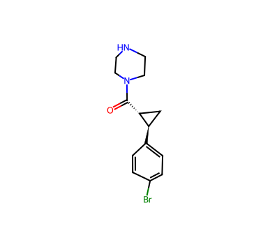 O=C([C@@H]1C[C@H]1c1ccc(Br)cc1)N1CCNCC1